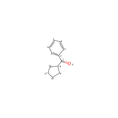 O=C(c1[c]cccc1)C1CCCC1